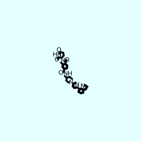 O=C1CCC(N2Cc3cc(C(=O)NCC4CCN(c5ccc(-c6cccc7cccnc67)nc5)CC4)ccc3C2=O)C(=O)N1